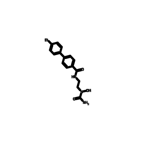 CCc1ccc(-c2ccc(C(=O)NCCN(O)C(N)=O)cc2)cc1